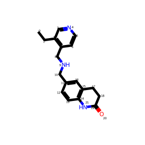 CCc1cnccc1CNCc1ccc2c(c1)CCC(=O)N2